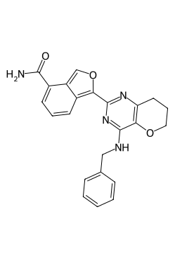 NC(=O)c1cccc2c(-c3nc4c(c(NCc5ccccc5)n3)OCCC4)occ12